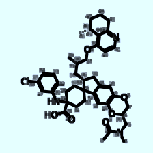 CC(=O)N(C)C[C@@H]1COc2cc3c(cc2O1)C1(CCC(Nc2cccc(Cl)c2)(C(=O)O)CC1)[C@@H](C[C@@H](C)COc1ccnc2c1[C@H](C)CCC2)C3